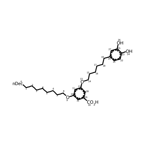 CCCCCCCCCCCCCCCCCCOc1cc(OCCCCCCc2ccc(O)c(O)c2)cc(C(=O)O)c1